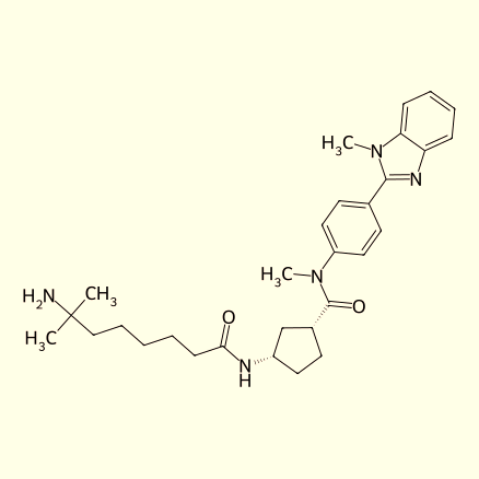 CN(C(=O)[C@@H]1CC[C@H](NC(=O)CCCCCC(C)(C)N)C1)c1ccc(-c2nc3ccccc3n2C)cc1